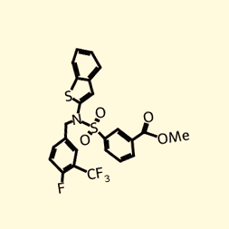 COC(=O)c1cccc(S(=O)(=O)N(Cc2ccc(F)c(C(F)(F)F)c2)c2cc3ccccc3s2)c1